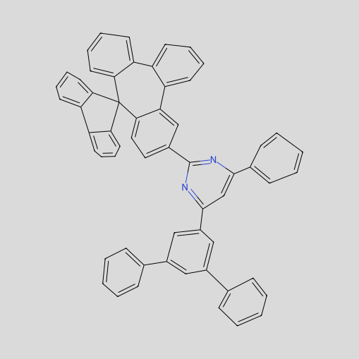 c1ccc(-c2cc(-c3ccccc3)cc(-c3cc(-c4ccccc4)nc(-c4ccc5c(c4)-c4ccccc4-c4ccccc4C54c5ccccc5-c5ccccc54)n3)c2)cc1